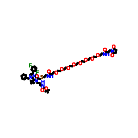 CC(C)(C)OC(=O)NCCCN(C(=O)CSCCNC(=O)CCOCCOCCOCCOCCOCCOCCOCCOCCNC(=O)CCN1C(=O)C=CC1=O)C(c1nc(-c2cc(F)ccc2F)cn1Cc1ccccc1)C(C)(C)C